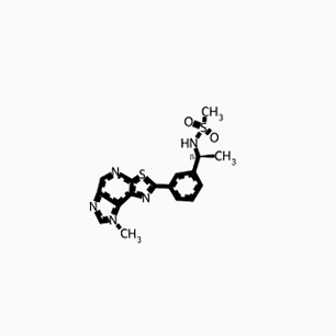 C[C@H](NS(C)(=O)=O)c1cccc(-c2nc3c(ncc4ncn(C)c43)s2)c1